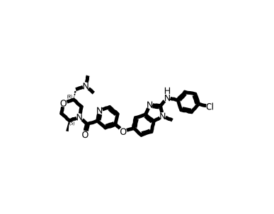 C[C@H]1CO[C@H](CN(C)C)CN1C(=O)c1cc(Oc2ccc3c(c2)nc(Nc2ccc(Cl)cc2)n3C)ccn1